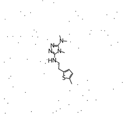 Cc1ccc(CCNc2nnc(N(C)C)n2C)s1